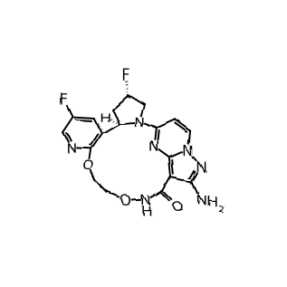 Nc1nn2ccc3nc2c1C(=O)NOCCOc1ncc(F)cc1[C@H]1C[C@H](F)CN31